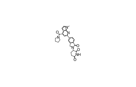 Cn1ccc2c(C(=O)N3CCCC3)cc(-c3ccc4c(c3)CN(C3CCC(=O)NC3=O)C4=O)nc21